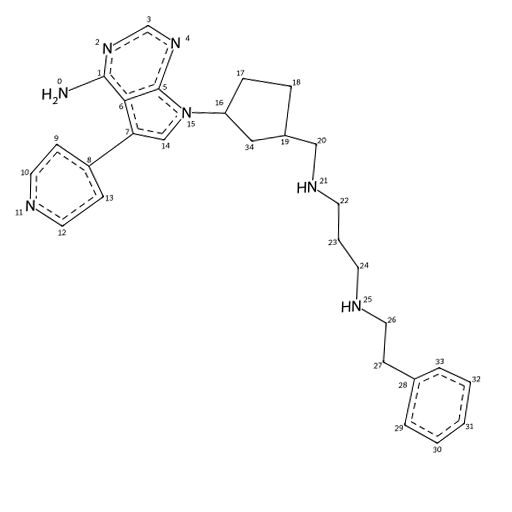 Nc1ncnc2c1c(-c1ccncc1)cn2C1CCC(CNCCCNCCc2ccccc2)C1